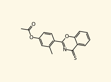 CC(=O)Oc1ccc(-c2nc(=S)c3ccccc3o2)c(C)c1